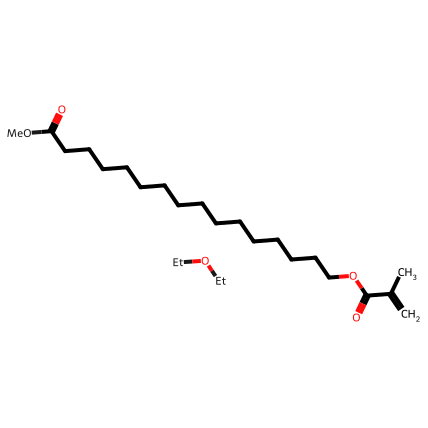 C=C(C)C(=O)OCCCCCCCCCCCCCCCC(=O)OC.CCOCC